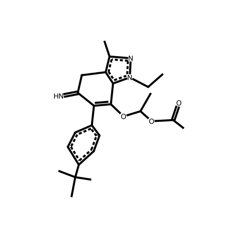 CCn1nc(C)c2c1C(OC(C)OC(C)=O)=C(c1ccc(C(C)(C)C)cc1)C(=N)C2